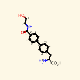 N[C@@H](Cc1ccc(-c2ccc(C(=O)NCCO)cc2)cc1)C(=O)O